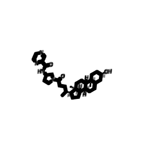 CC(CCC(=O)N1CCC(NC(=O)c2cnccn2)C1)[C@H]1CC[C@H]2[C@@H]3CC=C4C[C@@H](O)CC[C@]4(C)[C@H]3CC[C@]12C